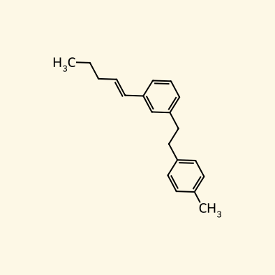 CCC/C=C/c1cccc(CCc2ccc(C)cc2)c1